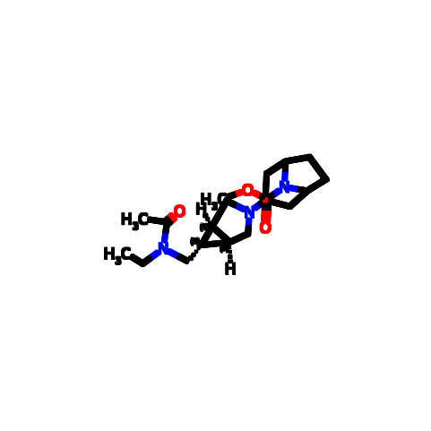 CCN(C[C@@H]1[C@H]2CN(C3CC4CCC(C3)N4C(=O)OC)C[C@@H]12)C(C)=O